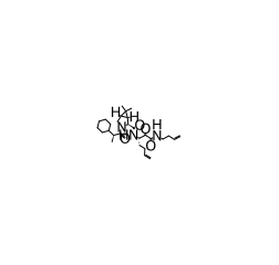 C=CCCNC(=O)C(=O)[C@H](CCC=C)NC(=O)[C@@H]1[C@@H]2[C@H](CN1C(=O)[C@@H](C)C1CCCCC1)C2(C)C